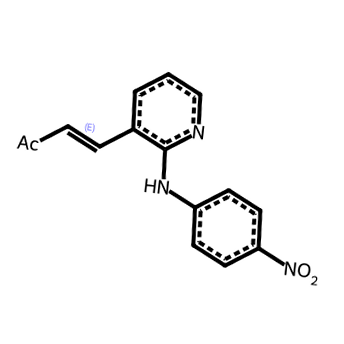 CC(=O)/C=C/c1cccnc1Nc1ccc([N+](=O)[O-])cc1